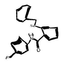 O=C(Nc1ccc(F)cc1)c1ccccc1[Se]Cc1ccccc1